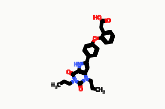 CCCn1c(=O)c2[nH]c(-c3ccc(Oc4ccccc4CC(=O)O)cc3)cc2n(CCC)c1=O